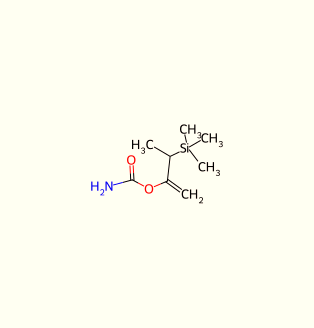 C=C(OC(N)=O)C(C)[Si](C)(C)C